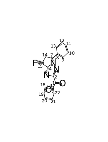 O=C(c1nc2n(n1)[C@H](c1ccccc1)C[C@@H]2F)c1cc2ccc1o2